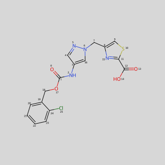 O=C(Nc1cnn(Cc2csc(C(=O)O)n2)c1)OCc1ccccc1Cl